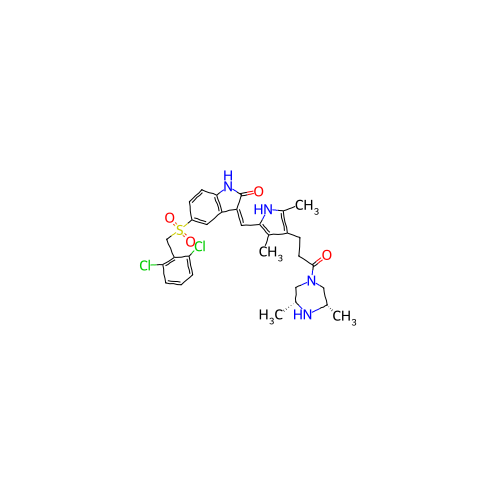 Cc1[nH]c(/C=C2\C(=O)Nc3ccc(S(=O)(=O)Cc4c(Cl)cccc4Cl)cc32)c(C)c1CCC(=O)N1C[C@@H](C)N[C@@H](C)C1